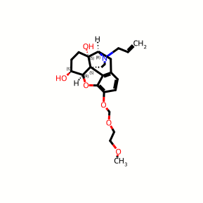 C=CCN1CC[C@]23c4c5ccc(OCOCCOC)c4O[C@H]2[C@@H](O)CC[C@@]3(O)[C@H]1C5